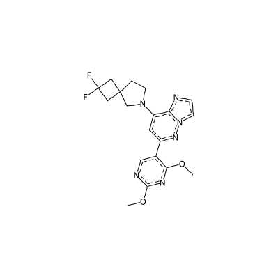 COc1ncc(-c2cc(N3CCC4(C3)CC(F)(F)C4)c3nccn3n2)c(OC)n1